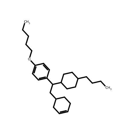 CCCCCOc1ccc(C(CC2CC=CCC2)C2CCC(CCCC)CC2)cc1